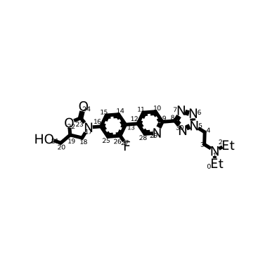 CCN(CC)CCn1nnc(-c2ccc(-c3ccc(N4CC(CO)OC4=O)cc3F)cn2)n1